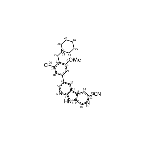 COc1cc(-c2cnc3[nH]c4cnc(C#N)cc4c3c2)cc(Cl)c1CN1CCCCC1